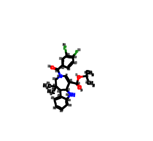 CC(C)OC(=O)C1=CN(C(=O)c2ccc(F)c(F)c2)CC(C)(C)C2c3ccccc3NC12